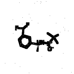 C[C@@H](N[S@+]([O-])C(C)(C)C)c1cccc(C(F)F)c1